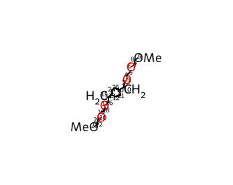 C=C(COCCOCCOC)c1ccc(C(=C)COCCOCCOC)cc1